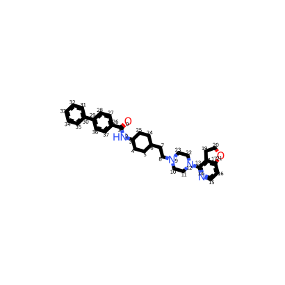 O=C(NC1CCC(CCN2CCN(c3nccc4c3CCO4)CC2)CC1)c1ccc(-c2ccccc2)cc1